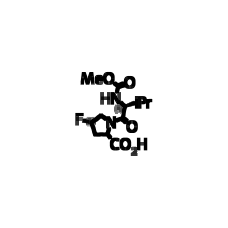 COC(=O)N[C@H](C(=O)N1C[C@H](F)CC1C(=O)O)C(C)C